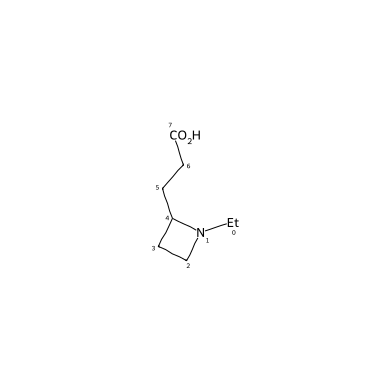 CCN1CCC1CCC(=O)O